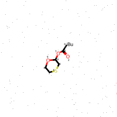 CCC(C)C(=O)OC1CSCCO1